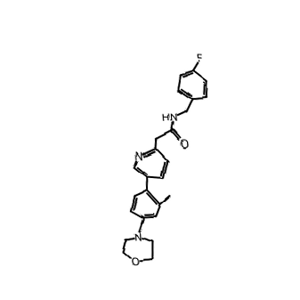 Cc1cc(N2CCOCC2)ccc1-c1ccc(CC(=O)NCc2ccc(F)cc2)nc1